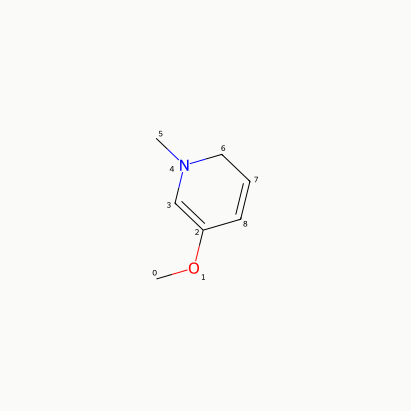 COC1=CN(C)CC=C1